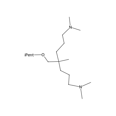 CCCC(C)OCC(C)(CCCN(C)C)CCCN(C)C